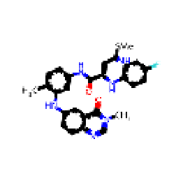 CSC(=N)/C=C(\Nc1ccc(F)cc1)C(=O)Nc1ccc(C)c(Nc2ccc3ncn(C)c(=O)c3c2)c1